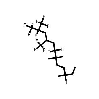 CCC(C)(I)CCC(C)(C)C(F)(F)CC(CC(F)(C(F)(F)F)C(F)(F)F)C(F)(F)F